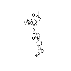 CO[C@@H](CCO[C@@H]1CCN(C2CCN(c3ncc(C#N)s3)CC2)C1=O)Nc1cn[nH]c(=O)c1C(F)(F)F